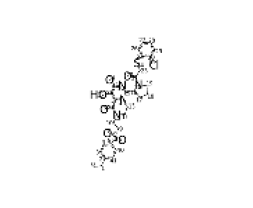 CCc1ccc(S(=O)(=O)CCN2CCn3c([C@@H]4CCCN4C(=O)CSc4ccccc4Cl)nc(=O)c(O)c3C2=O)cc1